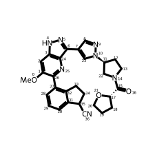 COc1cc2[nH]nc(-c3cnn([C@H]4CCN(C(=O)[C@@H]5CCCO5)C4)c3)c2nc1-c1cccc2c1CCC2C#N